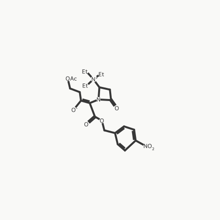 CC[N+](CC)(CC)C1CC(=O)N1/C(C(=O)OCc1ccc([N+](=O)[O-])cc1)=C(/[O-])CCOC(C)=O